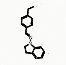 CCc1ccc(C=NN2CCc3ccccc32)cc1